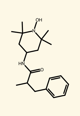 CC(Cc1ccccc1)C(=O)NC1CC(C)(C)N(O)C(C)(C)C1